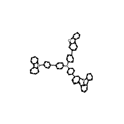 c1ccc2c(c1)oc1cc(-c3ccc(N(c4ccc(-c5ccc(-n6c7ccccc7c7ccccc76)cc5)cc4)c4ccc(-c5ccc6c7cccc8c9ccccc9n(c6c5)c87)cc4)cc3)ccc12